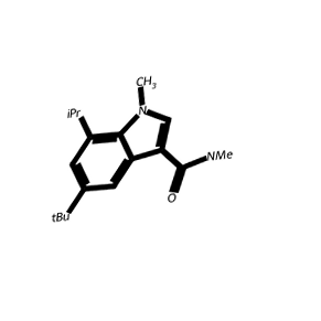 CNC(=O)c1cn(C)c2c(C(C)C)cc(C(C)(C)C)cc12